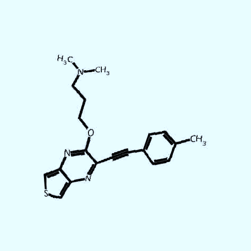 Cc1ccc(C#Cc2nc3cscc3nc2OCCCN(C)C)cc1